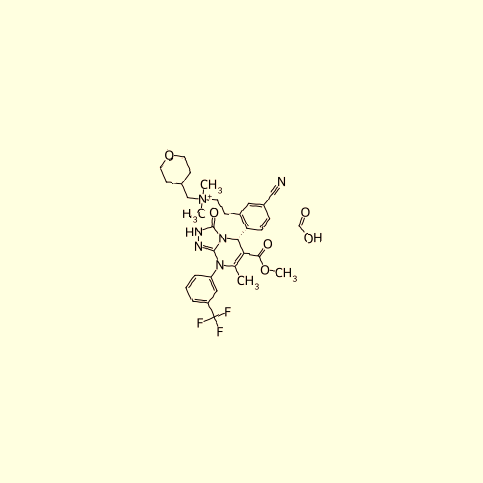 COC(=O)C1=C(C)N(c2cccc(C(F)(F)F)c2)c2n[nH]c(=O)n2[C@@H]1c1ccc(C#N)cc1CC[N+](C)(C)CC1CCOCC1.O=CO